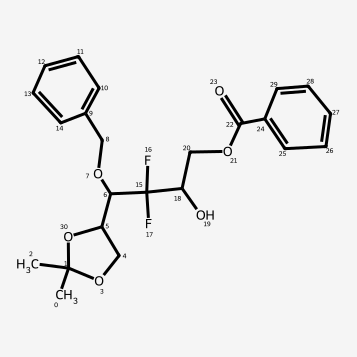 CC1(C)OCC(C(OCc2ccccc2)C(F)(F)C(O)COC(=O)c2ccccc2)O1